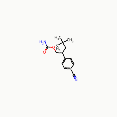 CC(C)(C)CC(COC(N)=O)c1ccc(C#N)cc1